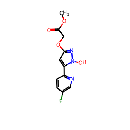 COC(=O)COc1cc(-c2ccc(F)cn2)n(O)n1